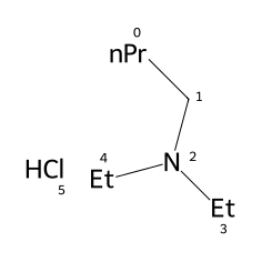 CCCCN(CC)CC.Cl